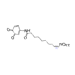 CCCCCCCC/C=C\CCCCCCCC(=O)NC1=CC(=O)C(=O)C=C1